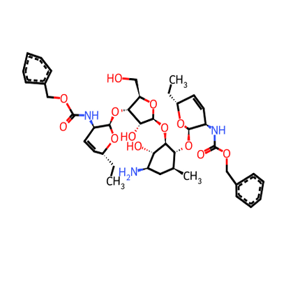 CC[C@@H]1C=C[C@@H](NC(=O)OCc2ccccc2)[C@@H](O[C@H]2[C@H](O[C@@H]3O[C@H](CO)[C@@H](O[C@H]4O[C@H](CC)C=C[C@H]4NC(=O)OCc4ccccc4)[C@H]3O)[C@@H](O)[C@H](N)C[C@@H]2C)O1